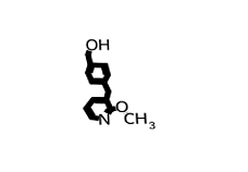 COc1ncccc1Cc1ccc(CO)cc1